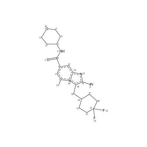 Cc1cc(C(=O)NC2CCOCC2)cc2nc(C(C)C)c(CC3CCC(F)(F)CC3)n12